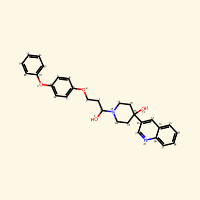 OC(CCOc1ccc(Oc2ccccc2)cc1)N1CCC(O)(c2cnc3ccccc3c2)CC1